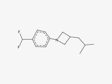 CC(C)CC1CN(c2ccc(C(F)F)cc2)C1